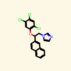 Clc1cc(Cl)c(OC(Cn2ccnc2)c2ccc3ccccc3c2)cc1Cl